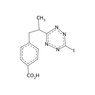 CC(Cc1ccc(C(=O)O)cc1)c1nnc(I)nn1